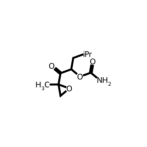 CC(C)CC(OC(N)=O)C(=O)C1(C)CO1